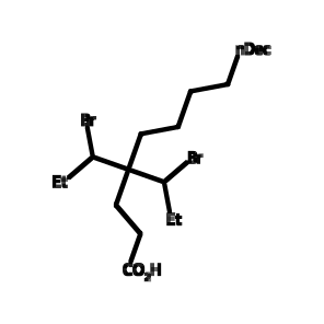 CCCCCCCCCCCCCCC(CCC(=O)O)(C(Br)CC)C(Br)CC